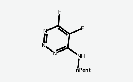 CCCCCNc1nnnc(F)c1F